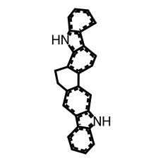 c1ccc2c(c1)[nH]c1cc3c(cc12)CCc1c-3ccc2c1[nH]c1ccccc12